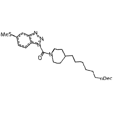 CCCCCCCCCCCCCCCCC1CCN(C(=O)n2nnc3cc(SC)ccc32)CC1